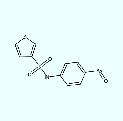 O=[As]c1ccc(NS(=O)(=O)c2ccsc2)cc1